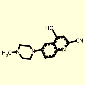 CN1CCN(c2ccc3nc(C#N)cc(O)c3c2)CC1